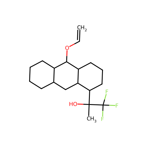 C=COC1C2CCCCC2CC2C1CCCC2C(C)(O)C(F)(F)F